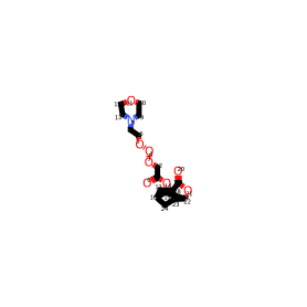 O=C(COOOCCN1CCOCC1)OC1C2CC3C(=O)OC1C3C2